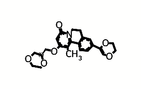 Cc1c(OC[C@@H]2COCCO2)cc(=O)n2c1-c1ccc(C3=COCCO3)cc1CC2